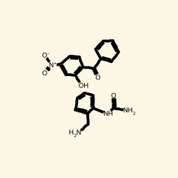 NCc1ccccc1NC(N)=O.O=C(c1ccccc1)c1ccc([N+](=O)[O-])cc1O